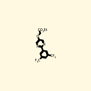 CCOC(=O)COc1cnc(-c2cc(C(F)(F)F)cc(C(F)(F)F)c2)nc1